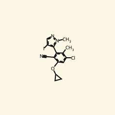 Cc1c(Cl)cc(OC2CC2)c(C#N)c1-c1c(I)cnn1C